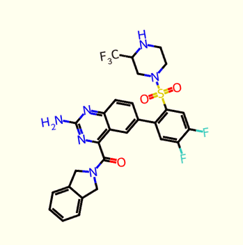 Nc1nc(C(=O)N2Cc3ccccc3C2)c2cc(-c3cc(F)c(F)cc3S(=O)(=O)N3CCNC(C(F)(F)F)C3)ccc2n1